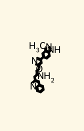 Cc1n[nH]c2ccc(-c3cncc(OC[C@@H](N)Cc4cnc5ccccc5c4)c3)cc12